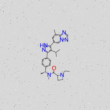 CCN1CCC1C(=O)N(C)[C@@H](C)c1ccc(-c2n[nH]c(-c3cc(C)c4ncnn4c3)c2C(C)C)cc1